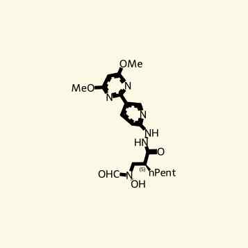 CCCCC[C@@H](CN(O)C=O)C(=O)NNc1ccc(-c2nc(OC)cc(OC)n2)cn1